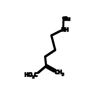 C=C(CCCNC(C)(C)C)C(=O)O